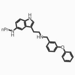 CCCNc1ccc2[nH]cc(CCNCc3cccc(Oc4ccccc4)c3)c2c1